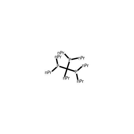 CCCP(CCC)C(CCC)(P(CCC)CCC)P(CCC)CCC